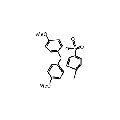 COc1ccc([I+]c2ccc(OC)cc2)cc1.Cc1ccc(S(=O)(=O)[O-])cc1